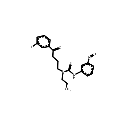 CCCN(CCCC(=O)c1cccc(F)c1)C(=O)Nc1cccc(N=O)c1